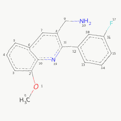 COc1cccc2cc(CN)c(-c3cccc(F)c3)nc12